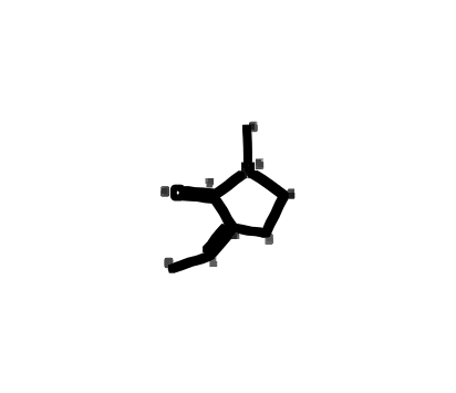 CC=C1CCN(C)C1=O